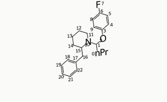 CCCC(Oc1ccc(F)cc1)N1CCCCC1Cc1ccccc1